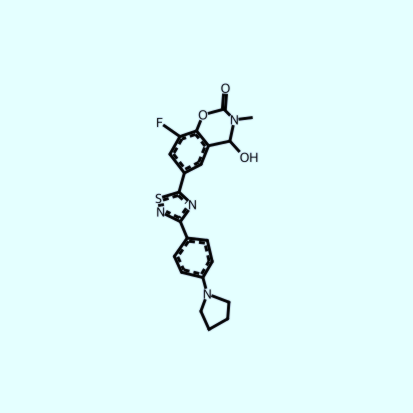 CN1C(=O)Oc2c(F)cc(-c3nc(-c4ccc(N5CCCC5)cc4)ns3)cc2C1O